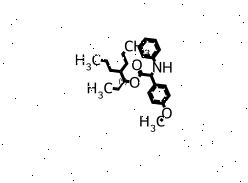 CCCC(CCC)[C@H](CC)OC(=O)C(Nc1ccccc1)c1ccc(OC)cc1